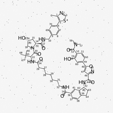 Cc1ncsc1-c1ccc(CNC(=O)[C@@H]2C[C@@H](O)CN2C(=O)C(NC(=O)CCCCCCCNC(=O)c2ccc3c(c2)[C@H](NC(=O)c2cc(-c4ccc(C(=O)N(C)C)c(O)c4)on2)CC3)C(C)(C)C)cc1